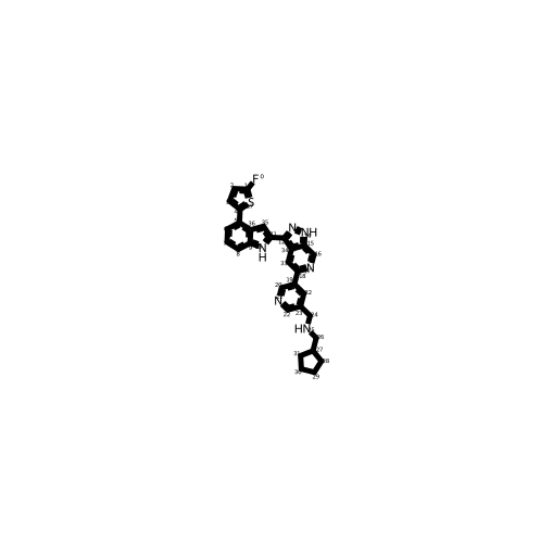 Fc1ccc(-c2cccc3[nH]c(-c4n[nH]c5cnc(-c6cncc(CNCC7CCCC7)c6)cc45)cc23)s1